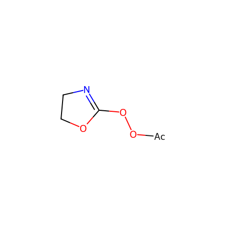 CC(=O)OOC1=NCCO1